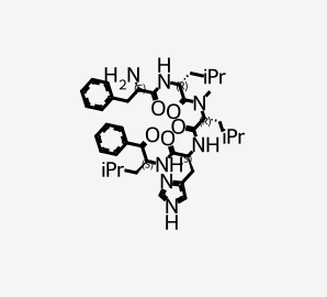 CC(C)C[C@H](NC(=O)[C@H](Cc1c[nH]cn1)NC(=O)[C@@H](CC(C)C)N(C)C(=O)[C@@H](CC(C)C)NC(=O)[C@@H](N)Cc1ccccc1)C(=O)c1ccccc1